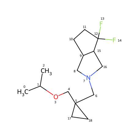 CC(C)OCC1(CN2CC3CCC(F)(F)C3C2)CC1